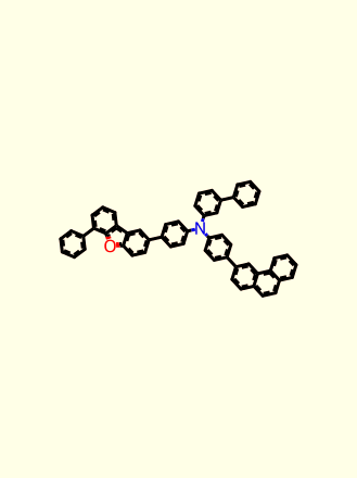 c1ccc(-c2cccc(N(c3ccc(-c4ccc5ccc6ccccc6c5c4)cc3)c3ccc(-c4ccc5oc6c(-c7ccccc7)cccc6c5c4)cc3)c2)cc1